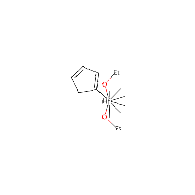 CC[O][Hf]([CH3])([CH3])([CH3])([CH3])([CH3])([CH3])([O]CC)[C]1=CC=CC1